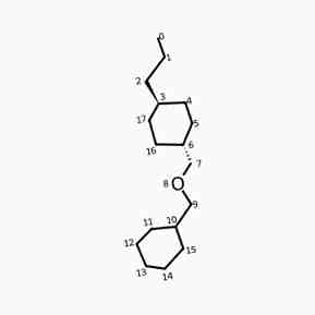 CCC[C@H]1CC[C@H](COCC2CCCCC2)CC1